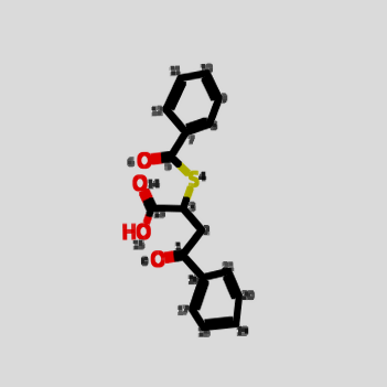 O=C(CC(SC(=O)c1ccccc1)C(=O)O)c1ccccc1